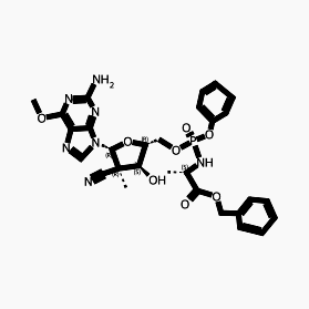 COc1nc(N)nc2c1ncn2[C@@H]1O[C@H](COP(=O)(N[C@@H](C)C(=O)OCc2ccccc2)Oc2ccccc2)[C@@H](O)[C@@]1(C)C#N